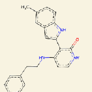 Cc1ccc2[nH]c(-c3c(NCCc4ccccc4)cc[nH]c3=O)cc2c1